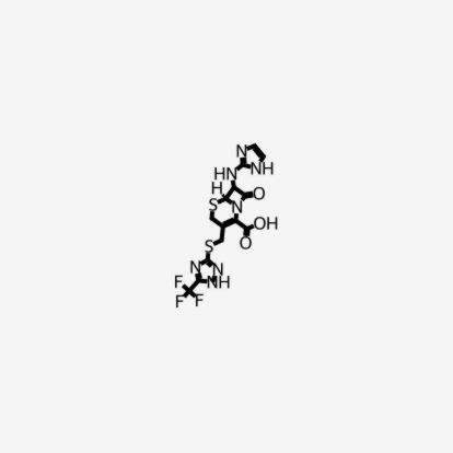 O=C(O)C1=C(CSc2n[nH]c(C(F)(F)F)n2)CS[C@@H]2C(Nc3ncc[nH]3)C(=O)N12